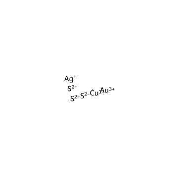 [Ag+].[Au+3].[Cu+2].[S-2].[S-2].[S-2]